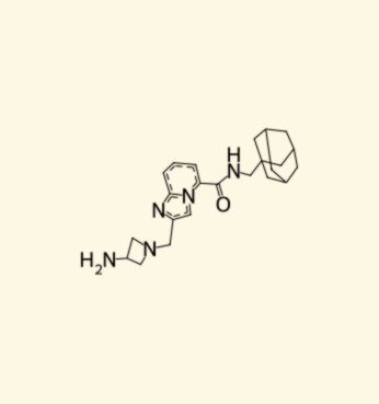 NC1CN(Cc2cn3c(C(=O)NCC45CC6CC(CC(C6)C4)C5)cccc3n2)C1